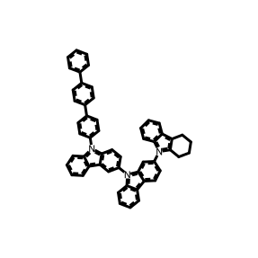 c1ccc(-c2ccc(-c3ccc(-n4c5ccccc5c5cc(-n6c7ccccc7c7ccc(-n8c9c(c%10ccccc%108)CCCC9)cc76)ccc54)cc3)cc2)cc1